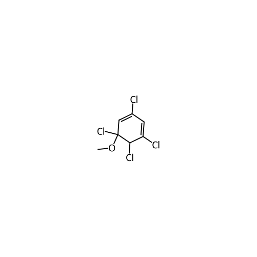 COC1(Cl)C=C(Cl)C=C(Cl)C1Cl